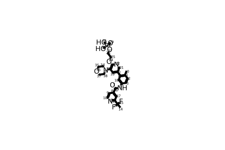 Cc1ccc(NC(=O)c2ccnc(C(C)(F)F)c2)cc1-c1cnc(OCCOP(=O)(O)O)c(N2CCOCC2)c1